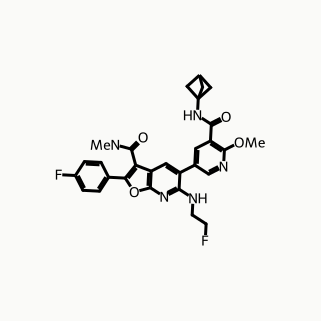 CNC(=O)c1c(-c2ccc(F)cc2)oc2nc(NCCF)c(-c3cnc(OC)c(C(=O)NC45CC(C4)C5)c3)cc12